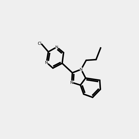 CCCn1c(-c2cnc(Cl)nc2)nc2ccccc21